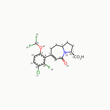 O=C(O)[C@@H]1CCC2CCC(c3c(OC(F)F)ccc(Cl)c3F)=CC(=O)N21